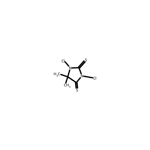 CC1(C)C(=S)N(Cl)C(=S)N1Cl